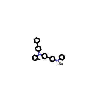 Cc1ccccc1N(c1ccc(-c2ccccc2)cc1)c1ccc(-c2ccc(N(c3ccccc3)C(C)(C)C)cc2)cc1